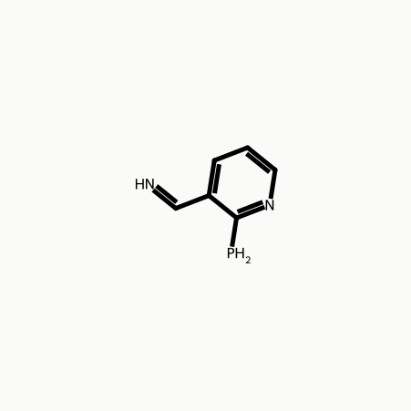 N=Cc1cccnc1P